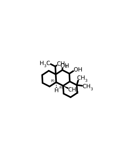 CC(C)C12CCCC[C@@H]1[C@@]1(C)CCCC(C)(C)C1C(O)C2O